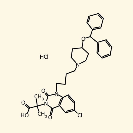 CC(C)(C(=O)O)n1c(=O)c2cc(Cl)ccc2n(CCCCN2CCC(OC(c3ccccc3)c3ccccc3)CC2)c1=O.Cl